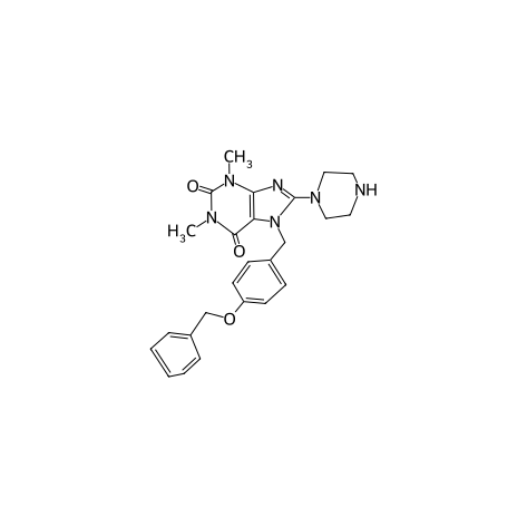 Cn1c(=O)c2c(nc(N3CCNCC3)n2Cc2ccc(OCc3ccccc3)cc2)n(C)c1=O